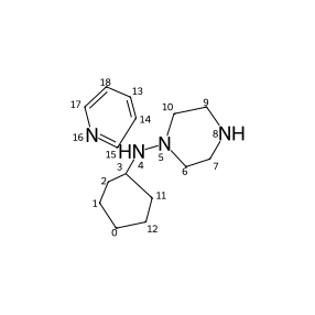 C1CCC(NN2CCNCC2)CC1.c1ccncc1